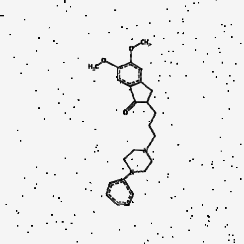 COc1cc2c(cc1OC)C(=O)C(CCCN1CCN(c3ccccc3)CC1)C2